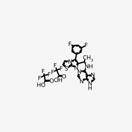 CC(Nc1ncnc2[nH]cnc12)c1nc2sccn2c1-c1cc(F)cc(F)c1.O=C(O)C(F)(F)F.O=C(O)C(F)(F)F